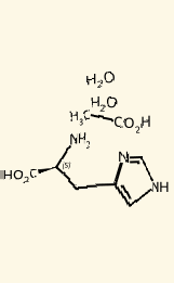 CC(=O)O.N[C@@H](Cc1c[nH]cn1)C(=O)O.O.O